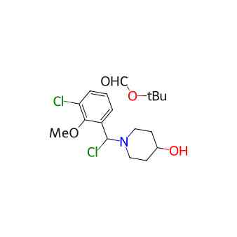 CC(C)(C)OC=O.COc1c(Cl)cccc1C(Cl)N1CCC(O)CC1